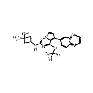 [2H]C([2H])([2H])Oc1nc(NC2CC(C)(O)C2)nn2ccc(-c3ccc4nccnc4c3)c12